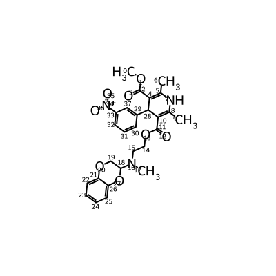 COC(=O)C1=C(C)NC(C)=C(C(=O)OCCN(C)C2COc3ccccc3O2)C1c1cccc([N+](=O)[O-])c1